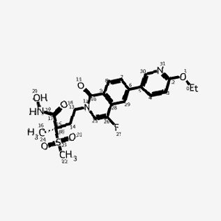 CCOc1ccc(-c2ccc3c(=O)n(CC[C@](C)(C(=O)NO)S(C)(=O)=O)cc(F)c3c2)cn1